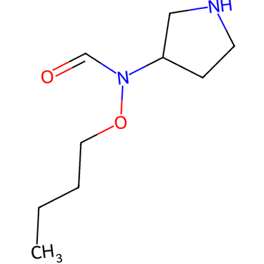 CCCCON(C=O)C1CCNC1